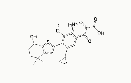 COc1c(-c2cc3c(s2)C(O)CCC3(C)C)c(C2CC2)cc2c(=O)c(C(=O)O)c[nH]c12